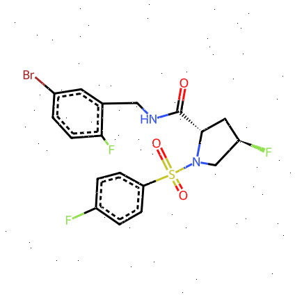 O=C(NCc1cc(Br)ccc1F)[C@@H]1C[C@@H](F)CN1S(=O)(=O)c1ccc(F)cc1